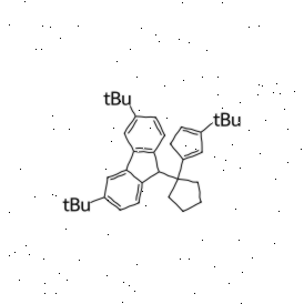 CC(C)(C)C1=CCC(C2(C3c4ccc(C(C)(C)C)cc4-c4cc(C(C)(C)C)ccc43)CCCC2)=C1